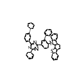 c1ccc(-c2cccc(-c3nc(-c4ccccc4)nc(-c4ccc(-n5c6ccccc6c6ccc7c8ccccc8sc7c65)c(-c5ccccc5)c4)n3)c2)cc1